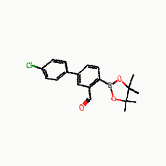 CC1(C)OB(c2ccc(-c3ccc(Cl)cc3)cc2C=O)OC1(C)C